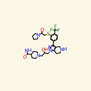 NC(=O)C1CCN(CC(O)Cn2nc(-c3ccc(C(F)(F)F)c(SCC(=O)N4CCCC4)c3)c3c2CCNC3)CC1